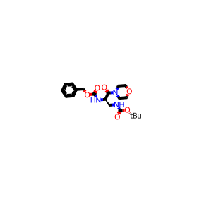 CC(C)(C)OC(=O)NC[C@@H](NC(=O)OCc1ccccc1)C(=O)N1CCOCC1